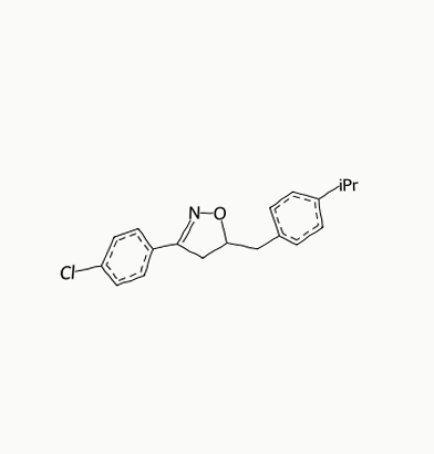 CC(C)c1ccc(CC2CC(c3ccc(Cl)cc3)=NO2)cc1